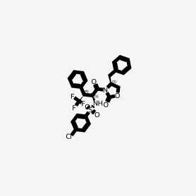 O=C1OC[C@H](Cc2ccccc2)N1C(=O)[C@@H](NS(=O)(=O)c1ccc(Cl)cc1)[C@@H](c1ccccc1)C(F)(F)F